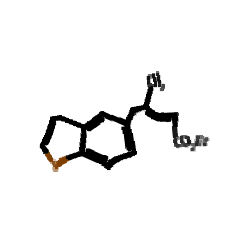 CCOC(=O)/C=C(/C)c1ccc2sccc2c1